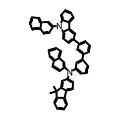 CC1(C)c2ccccc2-c2ccc(N(c3cccc(-c4cccc(-c5ccc6c(c5)c5ccccc5n6-c5ccc6ccccc6c5)c4)c3)c3ccc4ccccc4c3)cc21